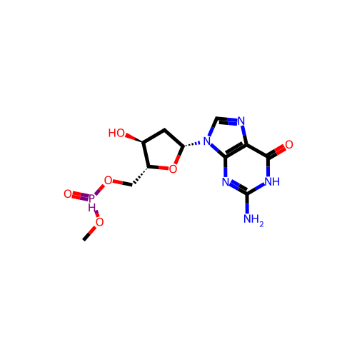 CO[PH](=O)OC[C@H]1O[C@@H](n2cnc3c(=O)[nH]c(N)nc32)C[C@@H]1O